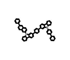 c1ccc(-c2ccc(-n3c4ccccc4c4ccc(-c5ccc(-c6ccc7c8ccccc8n(-c8ccc9cc(-c%10ccccc%10)ccc9c8)c7c6)cc5)cc43)cc2)cc1